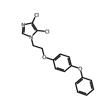 Clc1ncn(CCOc2ccc(Oc3ccccc3)cc2)c1Cl